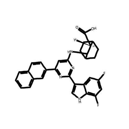 O=C(O)[C@@H]1C2CCC(CC2)C1Nc1cc(-c2ccc3ccccc3c2)nc(-c2c[nH]c3c(F)cc(F)cc23)n1